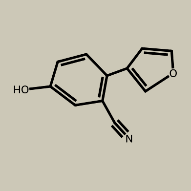 N#Cc1cc(O)ccc1-c1ccoc1